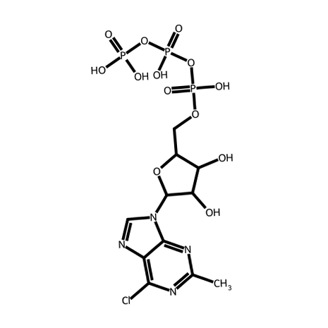 Cc1nc(Cl)c2ncn(C3OC(COP(=O)(O)OP(=O)(O)OP(=O)(O)O)C(O)C3O)c2n1